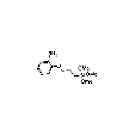 CO[Si](CCCOc1ccccc1N)(OC)OC